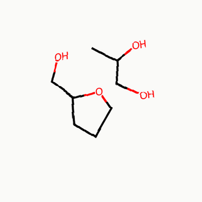 CC(O)CO.OCC1CCCO1